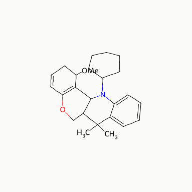 COC1CC=CC2=C1C1C(CO2)C(C)(C)c2ccccc2N1C1CCCCC1